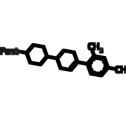 CCCCCC1CCC(C2CC=C(c3ccc(C)cc3C)CC2)CC1